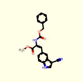 COC(=O)/C(=C\c1ccc2[nH]cc(C#N)c2c1)NC(=O)OCc1ccccc1